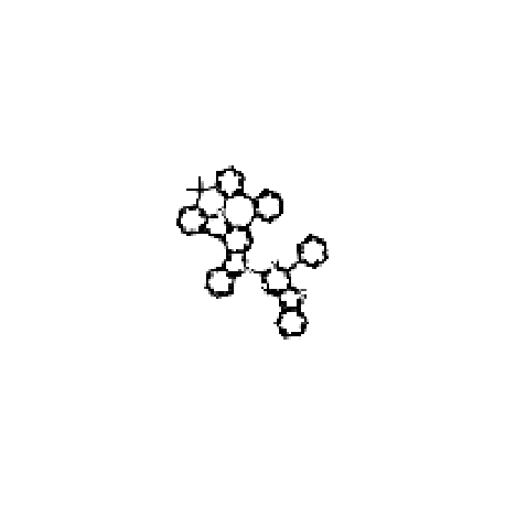 CC1(C)c2cccc3c2-n2c4c1cccc4c1c4c5ccccc5n(-c5nc(-c6ccccc6)c6sc7ccccc7c6n5)c4cc(c12)-c1ccccc1-3